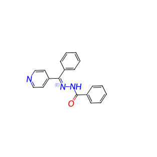 O=C(N/N=C(\c1ccccc1)c1ccncc1)c1ccccc1